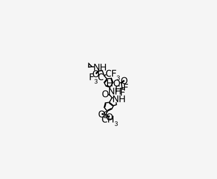 CS(=O)(=O)c1ccc2c(c1)CNC2C(=O)Nc1ccc(C(CC(=O)NC2CC2)(C(F)(F)F)C(F)(F)F)cc1.O=C(O)C(F)(F)F